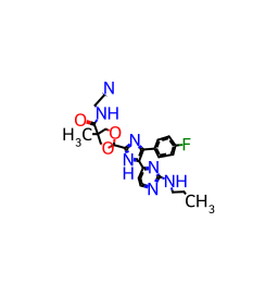 CCCNc1nccc(-c2[nH]c(C3OCC(C)(C(=O)NCC#N)CO3)nc2-c2ccc(F)cc2)n1